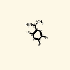 C[C@H](N)c1cc(F)c(F)cc1F